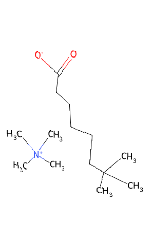 CC(C)(C)CCCCCC(=O)[O-].C[N+](C)(C)C